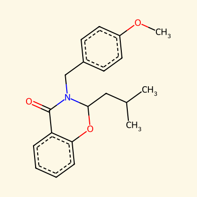 COc1ccc(CN2C(=O)c3ccccc3OC2CC(C)C)cc1